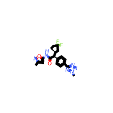 Cc1cc(NC(=O)[C@H](c2ccc(-c3nnn(C)n3)cc2)[C@H]2CCC(F)(F)C2)on1